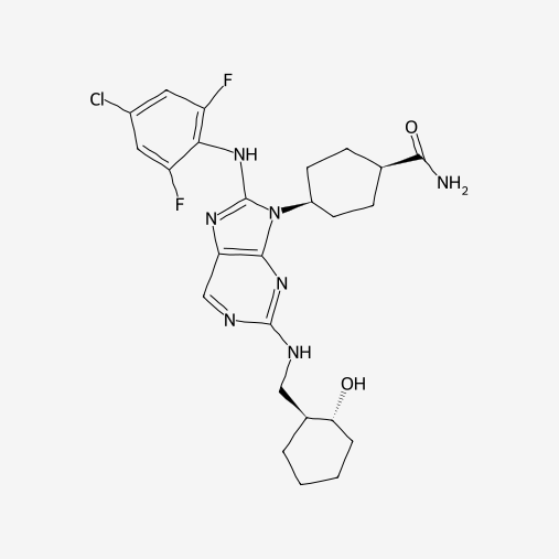 NC(=O)[C@H]1CC[C@@H](n2c(Nc3c(F)cc(Cl)cc3F)nc3cnc(NC[C@@H]4CCCC[C@H]4O)nc32)CC1